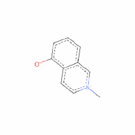 C[n+]1ccc2c([O-])cccc2c1